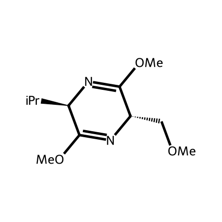 COC[C@@H]1N=C(OC)[C@@H](C(C)C)N=C1OC